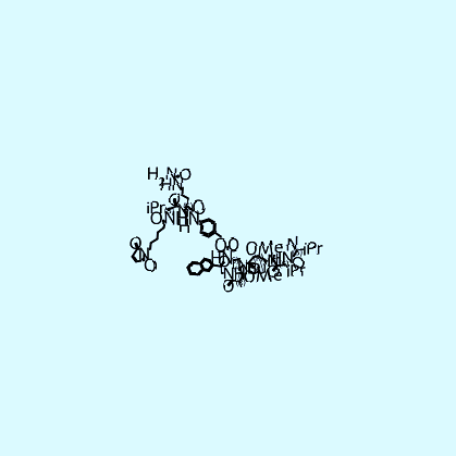 CC[C@H](C)[C@@H]([C@@H](CC(=O)N1C[C@@H](NC(=O)OCc2ccc(NC(=O)[C@H](CCCNC(N)=O)NC(=O)[C@@H](NC(=O)CCCCCN3C(=O)C=CC3=O)C(C)C)cc2)C[C@H]1[C@H](OC)[C@@H](C)C(=O)NCC(=O)c1ccc2ccccc2c1)OC)N(C)C(=O)[C@@H](NC(=O)[C@H](C(C)C)N(C)C)C(C)C